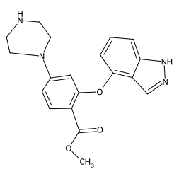 COC(=O)c1ccc(N2CCNCC2)cc1Oc1cccc2[nH]ncc12